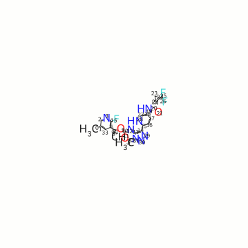 Cc1cnc(F)c([C@@H](C)OC(=O)Nc2c(-c3ccc(NC(=O)[C@@H]4CC4(F)F)cn3)nnn2C)c1